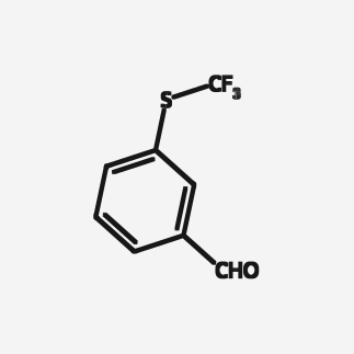 O=Cc1cccc(SC(F)(F)F)c1